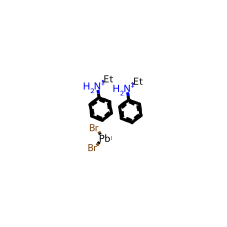 CC[NH2+]c1ccccc1.CC[NH2+]c1ccccc1.[Br][Pb][Br]